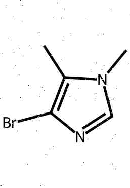 Cc1c(Br)ncn1C